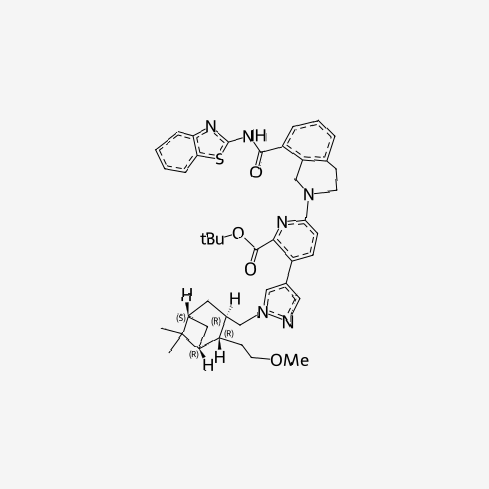 COCC[C@H]1[C@H](Cn2cc(-c3ccc(N4CCc5cccc(C(=O)Nc6nc7ccccc7s6)c5C4)nc3C(=O)OC(C)(C)C)cn2)C[C@@H]2C[C@H]1C2(C)C